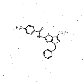 CCOC(=O)c1nn(Cc2ccccc2)c2nc(NC(=O)c3ccc(C)cc3)sc12